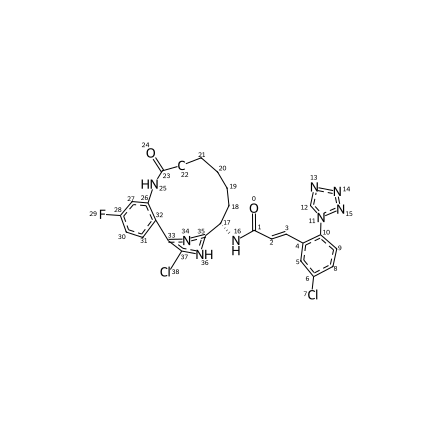 O=C(/C=C/c1cc(Cl)ccc1-n1cnnn1)N[C@H]1CCCCCC(=O)Nc2cc(F)ccc2-c2nc1[nH]c2Cl